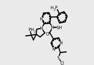 CC(SCl)c1ncc(C(=O)N(S)c2c(-c3ccccc3P)ccnc2N2CCC3(C2)CC3(C)P)cn1